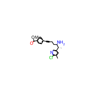 COC(=O)c1ccc(C#CCC[C@@H](N)[C@H](C)c2cnc(Cl)c(C)c2)cc1